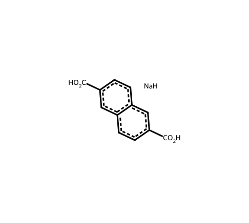 O=C(O)c1ccc2cc(C(=O)O)ccc2c1.[NaH]